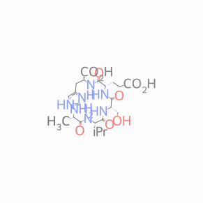 CC(C)[C@H](NC(=O)[C@H](C)N)C(=O)N[C@@H](CO)C(=O)N[C@@H](CCC(=O)O)C(=O)N[C@@H](Cc1c[nH]cn1)C(=O)O